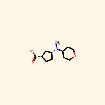 CN(C1CCOCC1)[C@@H]1CC[C@H](C(=O)O)C1